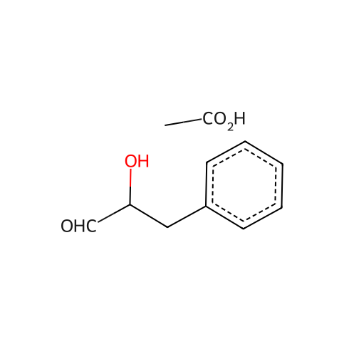 CC(=O)O.O=CC(O)Cc1ccccc1